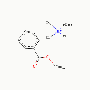 C=COC(=O)c1ccccc1.CCCCCCCCCC[N+](CC)(CC)CC